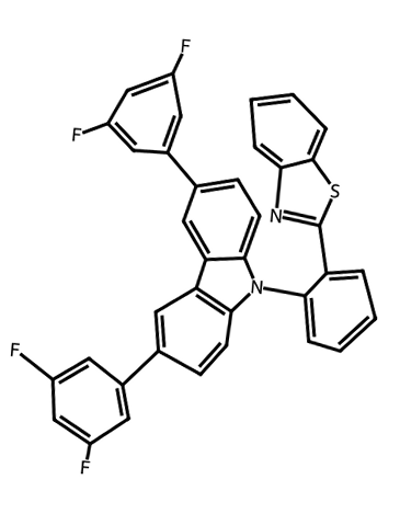 Fc1cc(F)cc(-c2ccc3c(c2)c2cc(-c4cc(F)cc(F)c4)ccc2n3-c2ccccc2-c2nc3ccccc3s2)c1